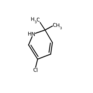 CC1(C)C=CC(Cl)=CN1